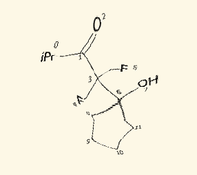 CC(C)C(=O)C(F)(F)C1(O)CCCC1